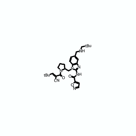 CC(C)(C)C=C(C#N)C(=O)N1CCCC1Cn1c(NC(=O)c2ccno2)nc2cc(CNCC(C)(C)C)ccc21